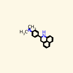 CN(C)c1ccc(C2Cc3cccc4cccc(c34)N2)cc1